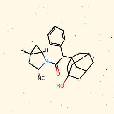 [C-]#[N+][C@@H]1C[C@@H]2C[C@@H]2N1C(=O)[C@@H](c1ccccc1)C12CC3CC(CC(O)(C3)C1)C2